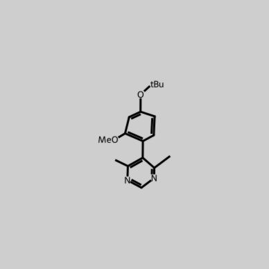 COc1cc(OC(C)(C)C)ccc1-c1c(C)ncnc1C